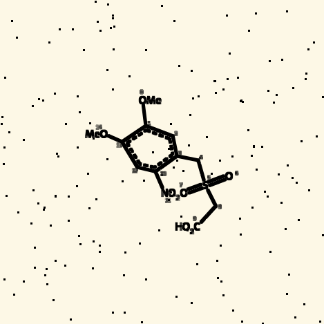 COc1cc(CS(=O)(=O)CC(=O)O)c([N+](=O)[O-])cc1OC